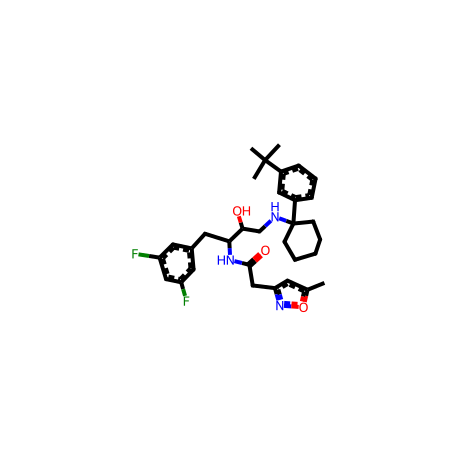 Cc1cc(CC(=O)NC(Cc2cc(F)cc(F)c2)C(O)CNC2(c3cccc(C(C)(C)C)c3)CCCCC2)no1